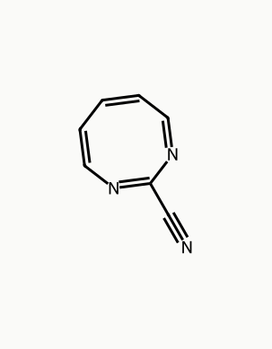 N#CC1=N/C=C\C=C/C=N\1